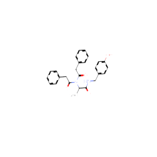 CCCCC(C(=O)NCc1ccc(O)cc1)N(C(=O)Cc1ccccc1)C(=O)Cc1ccccc1